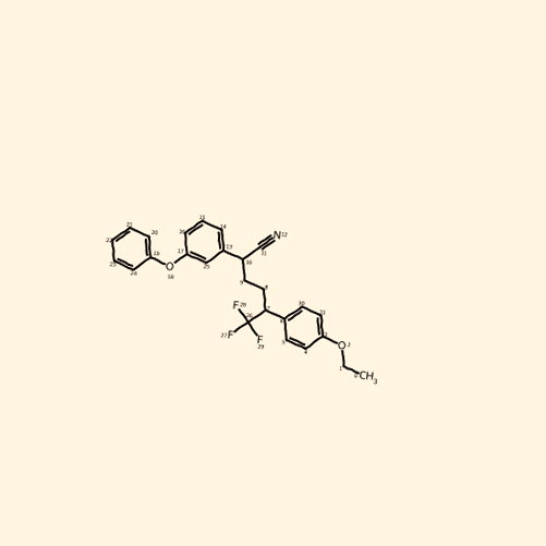 CCOc1ccc(C(CCC(C#N)c2cccc(Oc3ccccc3)c2)C(F)(F)F)cc1